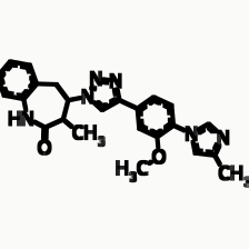 COc1cc(-c2cn(C3Cc4ccccc4NC(=O)C3C)nn2)ccc1-n1cnc(C)c1